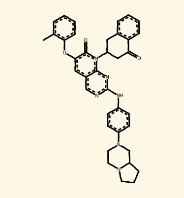 Cc1ccccc1Oc1cc2cnc(Nc3ccc(N4CCN5CCCC5C4)cc3)nc2n(C2CC(=O)c3ccccc3C2)c1=O